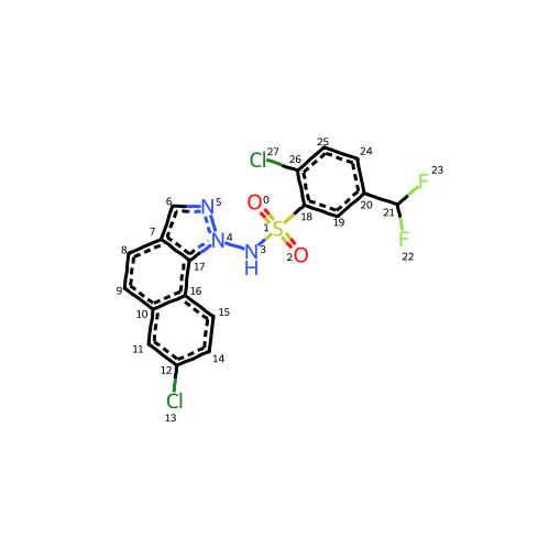 O=S(=O)(Nn1ncc2ccc3cc(Cl)ccc3c21)c1cc(C(F)F)ccc1Cl